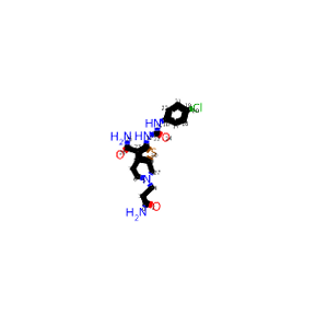 NC(=O)CCN1CCc2c(sc(NC(=O)Nc3ccc(Cl)cc3)c2C(N)=O)C1